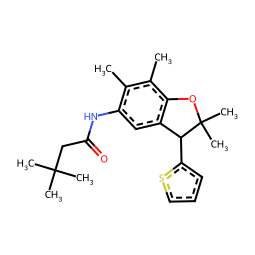 Cc1c(NC(=O)CC(C)(C)C)cc2c(c1C)OC(C)(C)C2c1cccs1